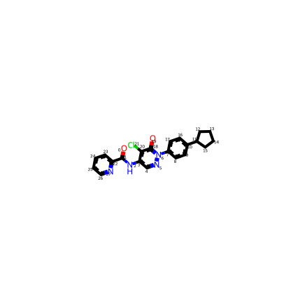 O=C(Nc1cnn(-c2ccc(C3CCCC3)cc2)c(=O)c1Cl)c1ccccn1